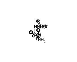 CC(=O)C(c1ccc(NC(=NC(=O)OC(C)(C)C)NC(=O)OC(C)(C)C)cc1)C(NC(=O)c1ccccc1)C(=O)C(F)(F)CN